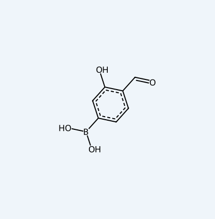 O=Cc1ccc(B(O)O)cc1O